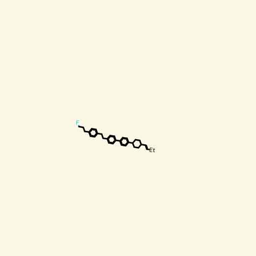 CC/C=C/C1CCC(c2ccc(-c3ccc(CCc4ccc(CCCF)cc4)cc3)cc2)CC1